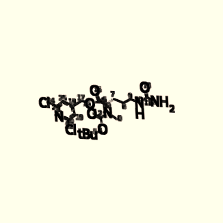 CN(C(=O)OC(C)(C)C)[C@@H](CCCNC(N)=O)C(=O)OCc1cc(Cl)nc(Cl)c1